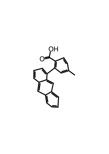 Cc1ccc(C(=O)O)c(-c2cccc3cc4ccccc4cc23)c1